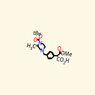 COC(=O)C(C(=O)O)c1ccc(CN2CCN(C(=O)OC(C)(C)C)[C@@H](C)C2)cc1